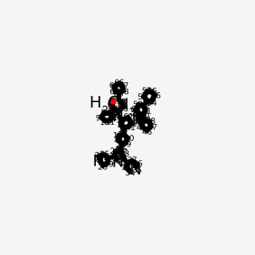 C=C(/C=C\c1c(C)c2ccccc2n1-c1cc(-c2ccc(-c3cc(-c4ccncc4)nc(-c4ccncc4)c3)cc2)cc(-n2c3ccccc3c3cc(-c4ccccc4)ccc32)c1)c1ccccc1